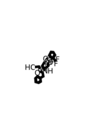 C#CCN1C(=O)C(Cc2ccccc2)NC12CCN(S(=O)(=O)c1ccccc1C(F)(F)F)CC2